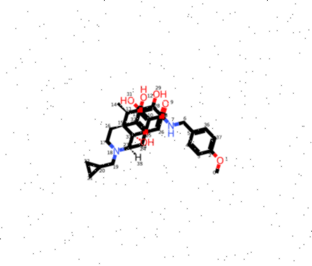 COc1ccc(CNC(=O)C2=C(O)[C@H](C)[C@]34CCN(CC5CC5)[C@H](Cc5ccc(O)c(O)c53)[C@]4(O)C2)cc1